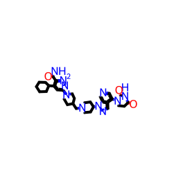 NC(=O)c1nnc(N2CCC(CN3CCC(n4ncc5c(N6CCC(=O)NC6=O)cncc54)CC3)CC2)cc1C1CCCCC1